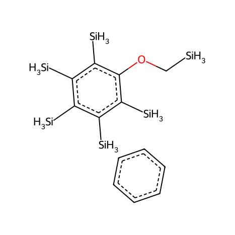 [SiH3]COc1c([SiH3])c([SiH3])c([SiH3])c([SiH3])c1[SiH3].c1ccccc1